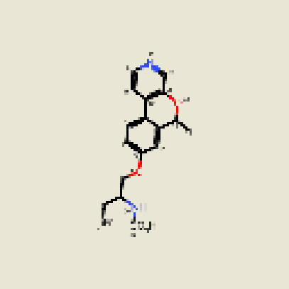 CC(C)CC(COc1ccc2c(c1)C(C)Oc1cnccc1-2)NC(=O)O